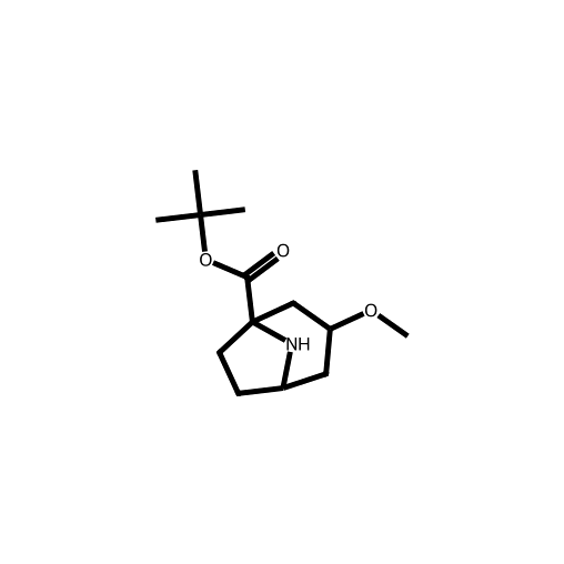 COC1CC2CCC(C(=O)OC(C)(C)C)(C1)N2